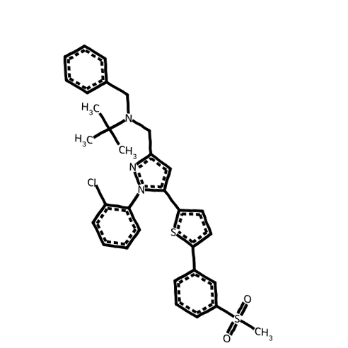 CC(C)(C)N(Cc1ccccc1)Cc1cc(-c2ccc(-c3cccc(S(C)(=O)=O)c3)s2)n(-c2ccccc2Cl)n1